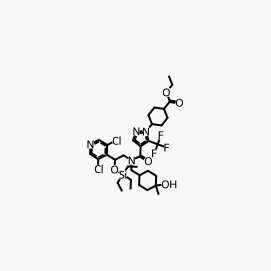 CCOC(=O)C1CCC(n2ncc(C(=O)N(CC3CCC(C)(O)CC3)CC(O[Si](CC)(CC)CC)c3c(Cl)cncc3Cl)c2C(F)(F)F)CC1